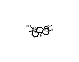 C[C@@H]1C[C@]23CC[C@H]4C(C)(C(=O)O)CCC[C@]4(C)[C@H]2CC[C@@H]1C3